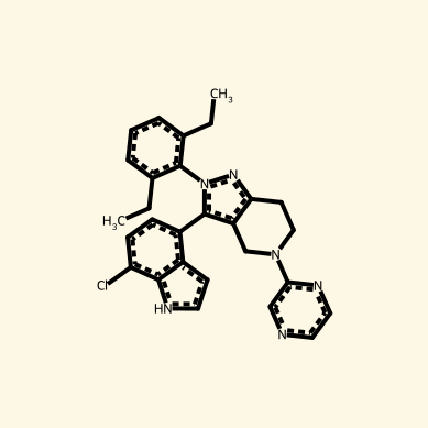 CCc1cccc(CC)c1-n1nc2c(c1-c1ccc(Cl)c3[nH]ccc13)CN(c1cnccn1)CC2